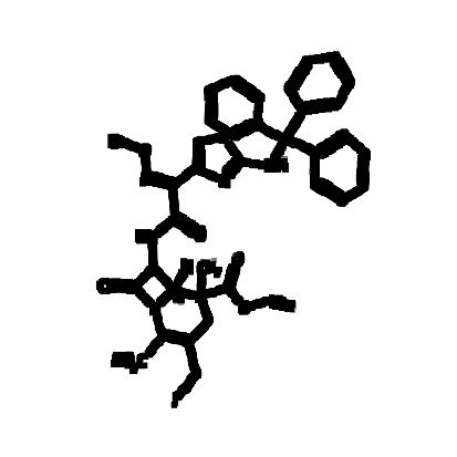 CCON=C(C(=O)NC1C(=O)N2C(C(=O)O)=C(CI)CS(C)(C(=O)OC(C)(C)C)[C@@H]12)c1csc(NC(c2ccccc2)(c2ccccc2)c2ccccc2)n1